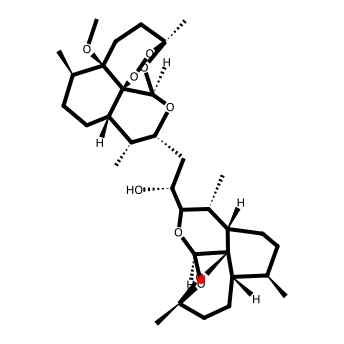 CO[C@@]12CC[C@]3(C)OO[C@]14[C@H](O[C@H](C[C@@H](O)C1O[C@@H]5O[C@]6(C)CC[C@H]7[C@H](C)CC[C@@H]([C@H]1C)[C@@]57OO6)[C@H](C)[C@@H]4CC[C@H]2C)O3